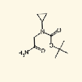 CC(C)(C)OC(=O)N(CC(N)=O)C1CC1